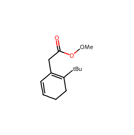 COOC(=O)CC1=C(C(C)(C)C)CCC=C1